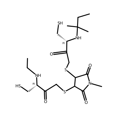 CCN[C@@H](CS)C(=O)CSC1C(=O)N(C)C(=O)C1SCC(=O)[C@H](CS)NC(C)(C)CC